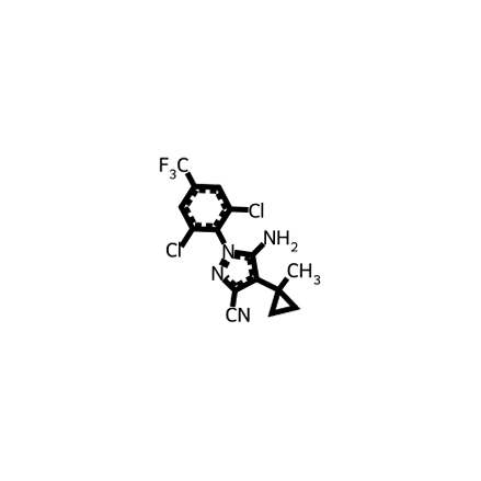 CC1(c2c(C#N)nn(-c3c(Cl)cc(C(F)(F)F)cc3Cl)c2N)CC1